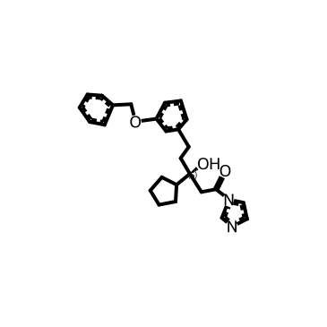 O=C(C[C@@](O)(CCc1cccc(OCc2ccccc2)c1)C1CCCC1)n1ccnc1